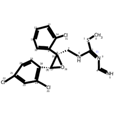 CS/C(=N/C=N)NC[C@]1(c2ccccc2Cl)O[C@@H]1c1ccc(Cl)cc1Cl